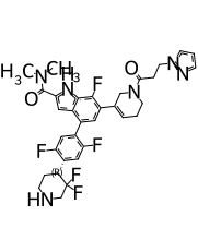 CN(C)C(=O)c1cc2c(-c3cc(F)c([C@H]4CCNCC4(F)F)cc3F)cc(C3=CCCN(C(=O)CCn4cccn4)C3)c(F)c2[nH]1